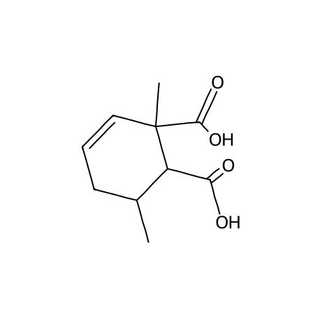 CC1CC=CC(C)(C(=O)O)C1C(=O)O